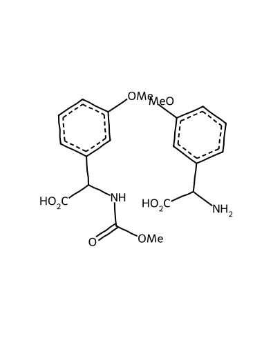 COC(=O)NC(C(=O)O)c1cccc(OC)c1.COc1cccc(C(N)C(=O)O)c1